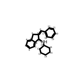 C(=C1\Cc2ccccc2C1NC1CCCCC1)/c1ccccc1